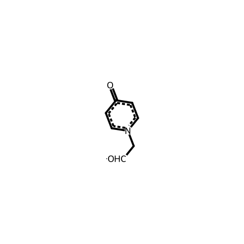 O=[C]Cn1ccc(=O)cc1